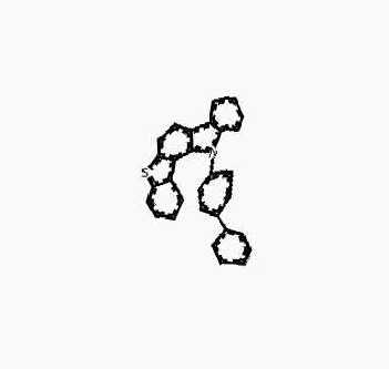 c1ccc(-c2ccc(-n3c4ccccc4c4ccc5sc6ccccc6c5c43)cc2)cc1